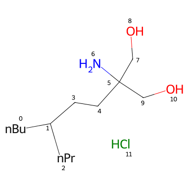 CCCCC(CCC)CCC(N)(CO)CO.Cl